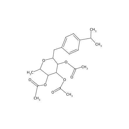 CC(=O)OC1C(C)OC(Cc2ccc(C(C)C)cc2)C(OC(C)=O)C1OC(C)=O